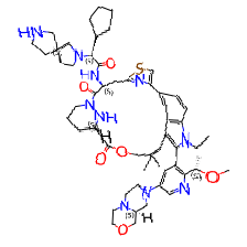 CCn1c(-c2cc(N3CCN4CCOC[C@@H]4C3)cnc2[C@H](C)OC)c2c3cc(ccc31)-c1csc(n1)C[C@H](NC(=O)[C@H](C1CCCC1)N1CC[C@]3(CCNC3)C1)C(=O)N1CCC[C@H](N1)C(=O)OCC(C)(C)C2